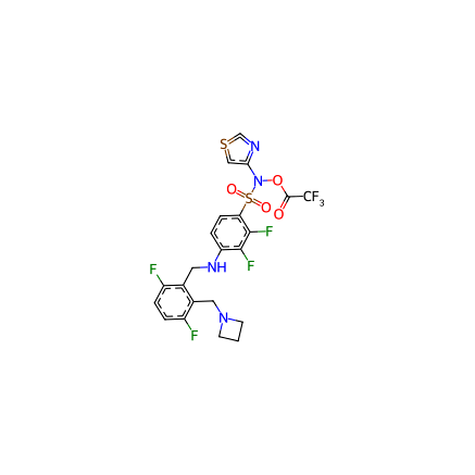 O=C(ON(c1cscn1)S(=O)(=O)c1ccc(NCc2c(F)ccc(F)c2CN2CCC2)c(F)c1F)C(F)(F)F